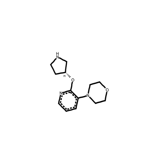 c1cnc(O[C@@H]2CCNC2)c(N2CCOCC2)c1